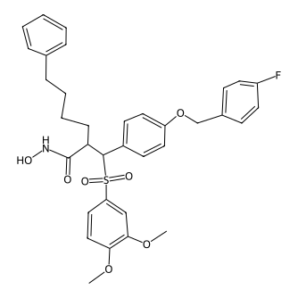 COc1ccc(S(=O)(=O)C(c2ccc(OCc3ccc(F)cc3)cc2)C(CCCCc2ccccc2)C(=O)NO)cc1OC